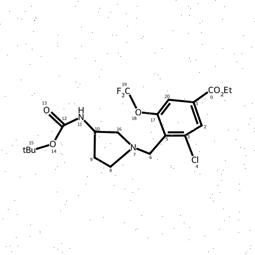 CCOC(=O)c1cc(Cl)c(CN2CCC(NC(=O)OC(C)(C)C)C2)c(OC(F)(F)F)c1